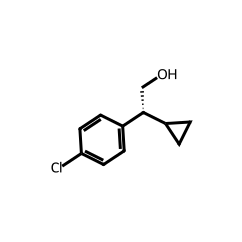 OC[C@@H](c1ccc(Cl)cc1)C1CC1